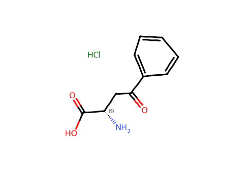 Cl.N[C@@H](CC(=O)c1ccccc1)C(=O)O